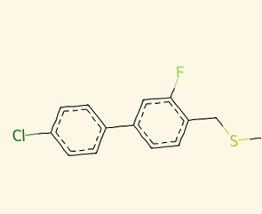 CSCc1ccc(-c2ccc(Cl)cc2)cc1F